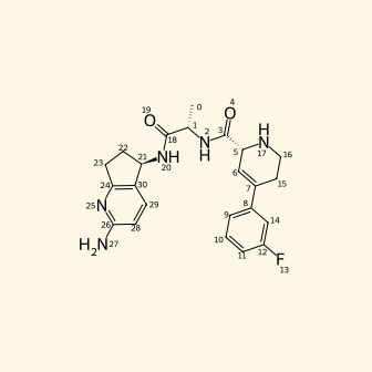 C[C@H](NC(=O)[C@H]1C=C(c2cccc(F)c2)CCN1)C(=O)N[C@@H]1CCc2nc(N)ccc21